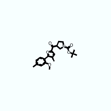 COc1cc(C)ccc1-c1oc(C(=O)C2CCN(C(=O)OC(C)(C)C)C2)cc1C